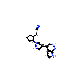 N#CCC1CCCC1n1cc(-c2cnnc3[nH]ccc23)cn1